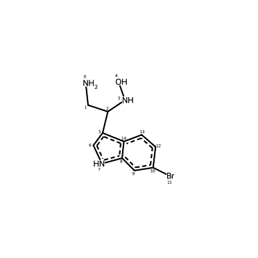 NCC(NO)c1c[nH]c2cc(Br)ccc12